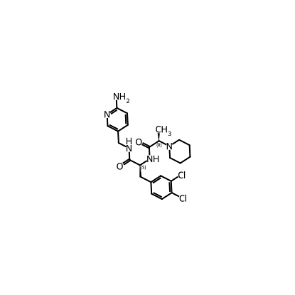 C[C@H](C(=O)N[C@@H](Cc1ccc(Cl)c(Cl)c1)C(=O)NCc1ccc(N)nc1)N1CCCCC1